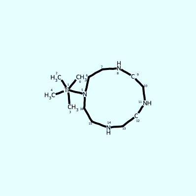 [CH3][Ti]([CH3])([CH3])([CH3])[N]1CCNCCNCCNCC1